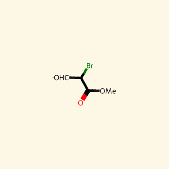 COC(=O)C(Br)[C]=O